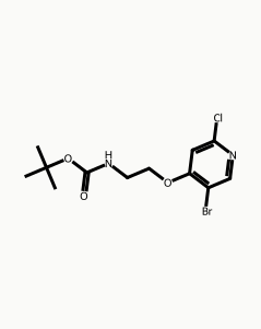 CC(C)(C)OC(=O)NCCOc1cc(Cl)ncc1Br